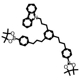 CC1(C)OB(c2ccc(CCCc3cc(CCCc4ccc(B5OC(C)(C)C(C)(C)O5)cc4)cc(CCCn4c5ccccc5c5ccccc54)c3)cc2)OC1(C)C